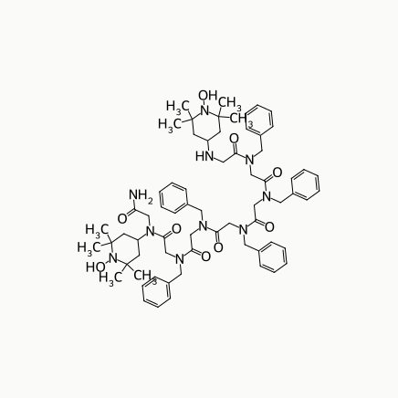 CC1(C)CC(NCC(=O)N(CC(=O)N(CC(=O)N(CC(=O)N(CC(=O)N(CC(=O)N(CC(N)=O)C2CC(C)(C)N(O)C(C)(C)C2)Cc2ccccc2)Cc2ccccc2)Cc2ccccc2)Cc2ccccc2)Cc2ccccc2)CC(C)(C)N1O